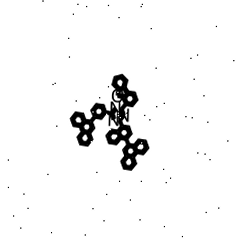 c1cc(-c2nc(-c3ccc(-c4cc5ccccc5c5ccccc45)c4ccccc34)nc(-c3cccc4c3oc3ccccc34)n2)cc(-c2cc3ccccc3c3ccccc23)c1